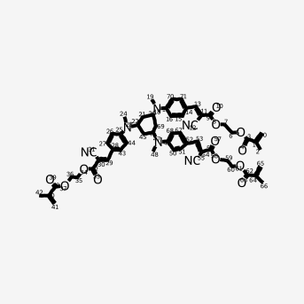 C=C(C)C(=O)OCCOC(=O)/C(C#N)=C/c1ccc(N(C)C2CC(N(C)c3ccc(/C=C(\C#N)C(=O)OCCOC(=O)C(=C)C)cc3)CC(N(C)c3ccc(/C=C(\C#N)C(=O)OCCOC(=O)C(=C)C)cc3)C2)cc1